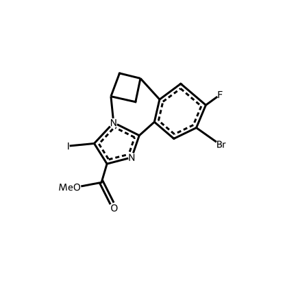 COC(=O)c1nc2n(c1I)C1CC(C1)c1cc(F)c(Br)cc1-2